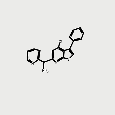 NC(c1ccccn1)c1cc(Cl)c2c(-c3ccccc3)csc2n1